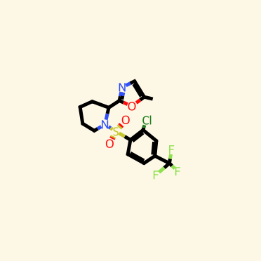 Cc1cnc(C2CCCCN2S(=O)(=O)c2ccc(C(F)(F)F)cc2Cl)o1